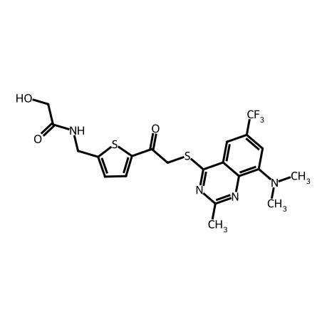 Cc1nc(SCC(=O)c2ccc(CNC(=O)CO)s2)c2cc(C(F)(F)F)cc(N(C)C)c2n1